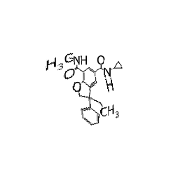 CCC1(c2ccccc2)COc2c(C(=O)NC)cc(C(=O)NC3CC3)cc21